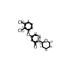 O=c1cc(Oc2cccc(Cl)c2Cl)cnn1C1CCCCO1